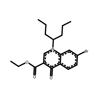 CCCC(CCC)n1cc(C(=O)OCC)c(=O)c2ccc(Br)cc21